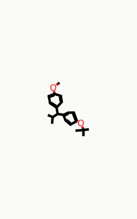 COc1ccc(C(c2ccc(OC(C)(C)C)cc2)C(C)C)cc1